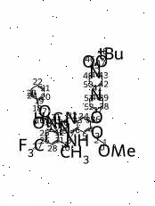 COCCOc1cc2c(N[C@H](C)c3cc(NC(=O)OCc4ccccc4)cc(C(F)(F)F)c3)nc(C)nc2cc1OC1CCN(C2CCN(C(=O)OC(C)(C)C)CC2)CC1